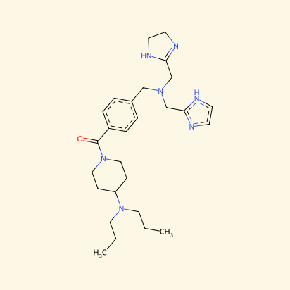 CCCN(CCC)C1CCN(C(=O)c2ccc(CN(CC3=NCCN3)Cc3ncc[nH]3)cc2)CC1